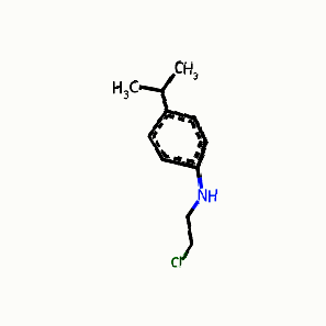 CC(C)c1ccc(NCCCl)cc1